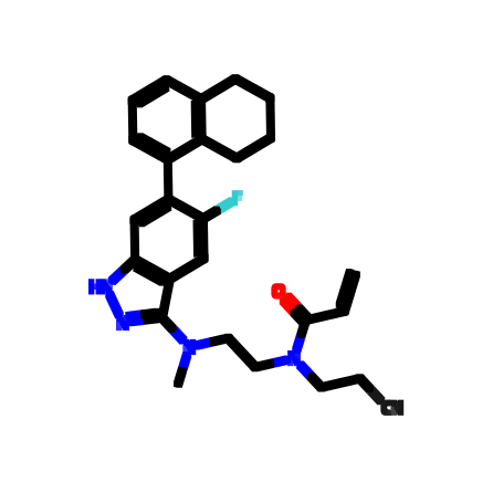 C=CC(=O)N(CCC#N)CCN(C)c1n[nH]c2cc(-c3cccc4c3CCCC4)c(F)cc12